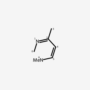 C/N=C(C)\C=C/NC